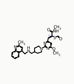 CNC(=O)/C(=C/c1cc(OC)nc(N2CCC(CNCc3cc(C)nc4ccccc34)CC2)n1)SC=O